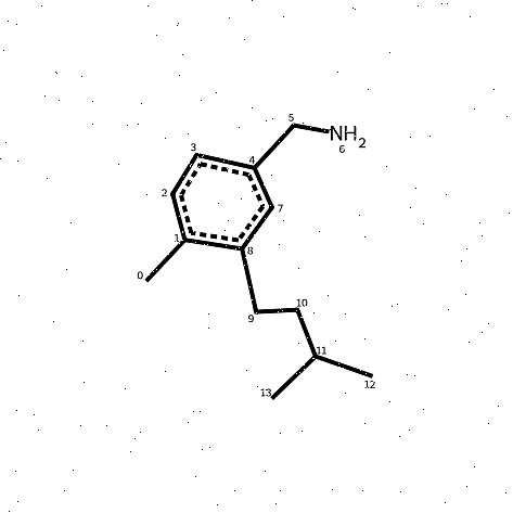 Cc1ccc(CN)cc1CCC(C)C